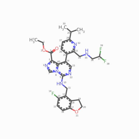 CCOC(=O)c1ncn2c(NCc3c(F)ccc4c3CCO4)ncc(-c3ccc(C(C)C)nc3CNCC(F)F)c12